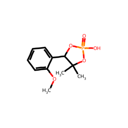 COc1ccccc1C1OP(=O)(O)OC1(C)C